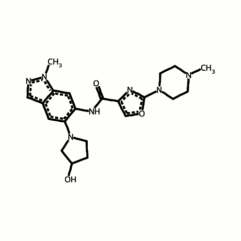 CN1CCN(c2nc(C(=O)Nc3cc4c(cnn4C)cc3N3CCC(O)C3)co2)CC1